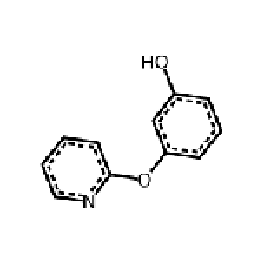 Oc1cccc(Oc2ccccn2)c1